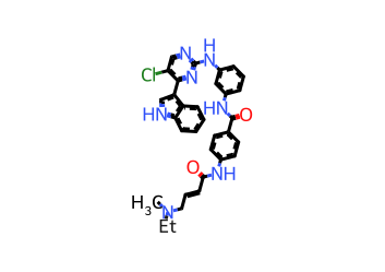 CCN(C)C/C=C/C(=O)Nc1ccc(C(=O)Nc2cccc(Nc3ncc(Cl)c(-c4c[nH]c5ccccc45)n3)c2)cc1